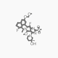 CCc1c(F)ccc2cc(OCOC)cc(-c3nc(OC)c4c(N5CCC[C@@](C)(O)C5)nc(S(C)(=O)=O)nc4c3F)c12